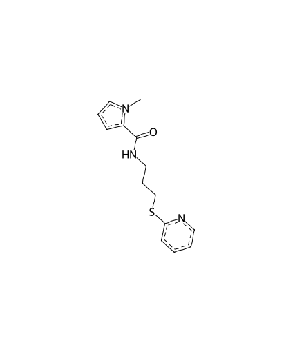 Cn1cccc1C(=O)NCCCSc1ccccn1